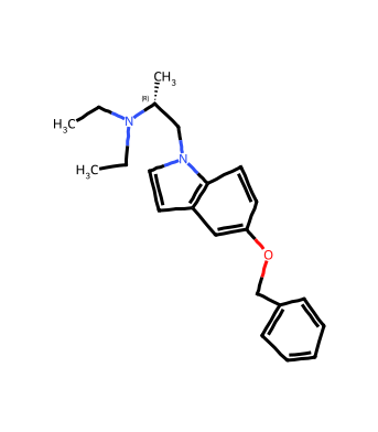 CCN(CC)[C@H](C)Cn1ccc2cc(OCc3ccccc3)ccc21